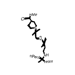 CCCCCCC(C)(CCCCC)NCCC(C)(C)OCC(C)(C)N1CCC(C(=O)NC)CC1